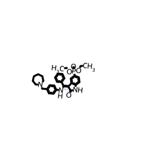 CCOP(=O)(OCC)c1ccc2c(c1)/C(=C(/Nc1ccc(CN3CCCCCC3)cc1)c1ccccc1)C(=O)N2